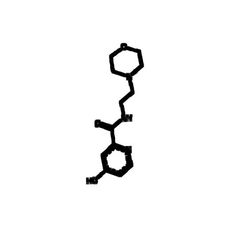 O=C(NCCN1CCOCC1)c1cc(O)ccn1